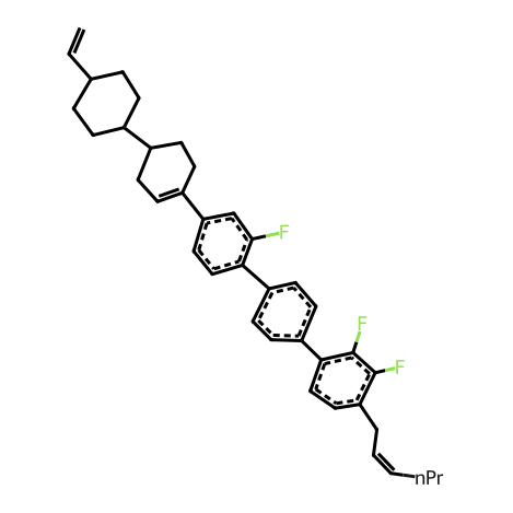 C=CC1CCC(C2CC=C(c3ccc(-c4ccc(-c5ccc(C/C=C\CCC)c(F)c5F)cc4)c(F)c3)CC2)CC1